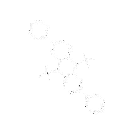 FC(F)(F)c1c2ccc(-c3ccccc3)cc2c(C(F)(F)F)c2ccc(-c3ccccc3)cc12